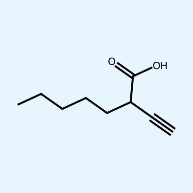 C#CC(CCCCC)C(=O)O